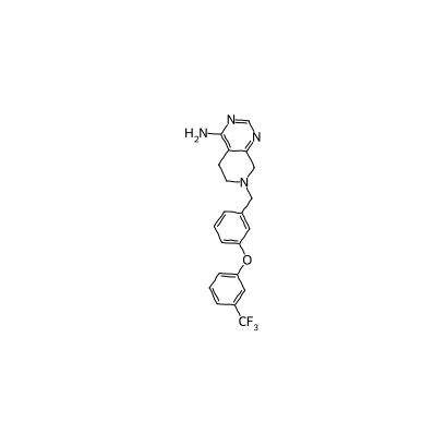 Nc1ncnc2c1CCN(Cc1cccc(Oc3cccc(C(F)(F)F)c3)c1)C2